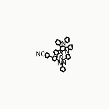 N#Cc1ccc(-c2ccc(-c3nc(-c4ccccc4)nc(-c4cccc(-n5c6ccccc6c6c5c5sc7ccccc7c5c5c7ccccc7n(-c7ccccc7)c56)c4)n3)cc2)cc1